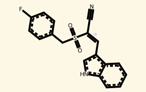 N#C/C(=C/c1c[nH]c2ccccc12)S(=O)(=O)Cc1ccc(F)cc1